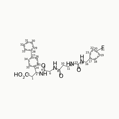 O=C(O)CC(NC(=O)CNC(=O)CCNC(=O)NCc1ccc(F)cc1)c1ccc(-c2ccccc2)cc1